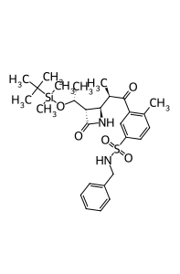 Cc1ccc(S(=O)(=O)NCc2ccccc2)cc1C(=O)[C@H](C)[C@H]1NC(=O)[C@@H]1[C@@H](C)O[Si](C)(C)C(C)(C)C